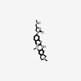 CNCC1CN(c2ccc3cnc(Nc4cc5c(cc4OC)CCN(C)C5)nc3c2)C(=O)O1